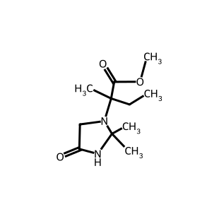 CCC(C)(C(=O)OC)N1CC(=O)NC1(C)C